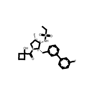 CCS(=O)(=O)N[C@H]1[C@@H](F)CN(C(=O)C2(O)CCC2)[C@H]1Cc1cccc(-c2cccc(F)c2)c1